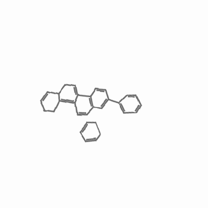 C1=CC2CC=c3c(ccc4cc(-c5ccccc5)ccc34)=C2CC1.C1=CCCC=C1